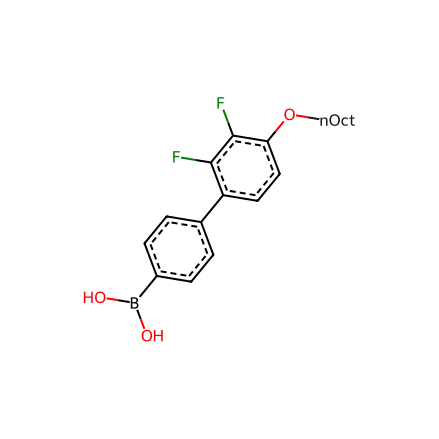 CCCCCCCCOc1ccc(-c2ccc(B(O)O)cc2)c(F)c1F